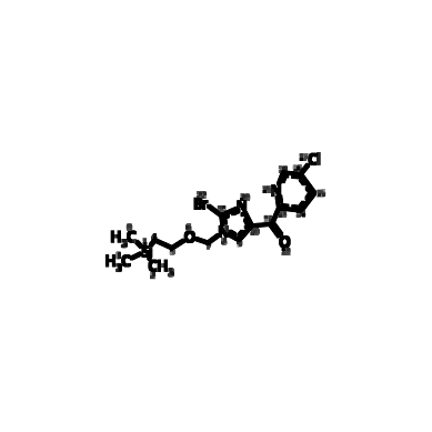 C[Si](C)(C)CCOCn1cc(C(=O)c2ccc(Cl)cn2)nc1Br